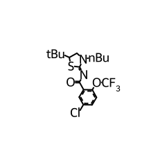 CCCCN1CC(C(C)(C)C)S/C1=N\C(=O)c1cc(Cl)ccc1OC(F)(F)F